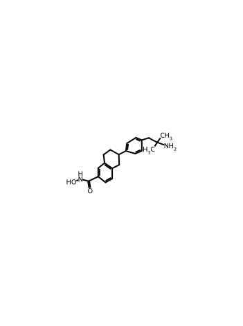 CC(C)(N)Cc1ccc(C2CCc3cc(C(=O)NO)ccc3C2)cc1